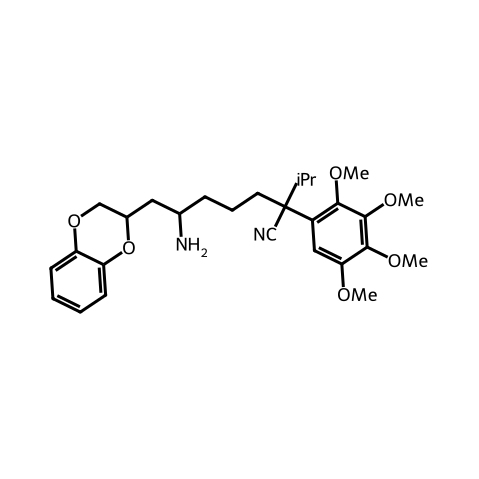 COc1cc(C(C#N)(CCCC(N)CC2COc3ccccc3O2)C(C)C)c(OC)c(OC)c1OC